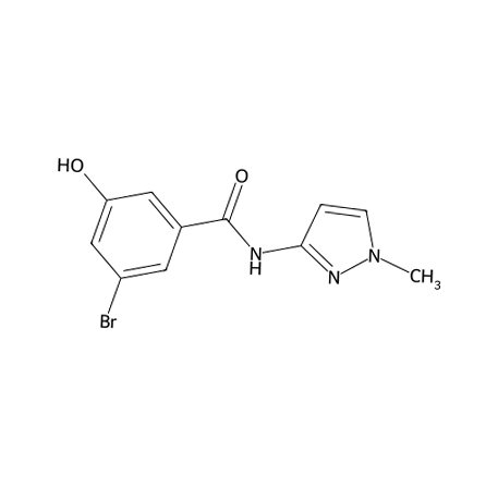 Cn1ccc(NC(=O)c2cc(O)cc(Br)c2)n1